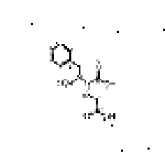 NN(Cc1ccccc1)C(CCC(=O)O)C(=O)O